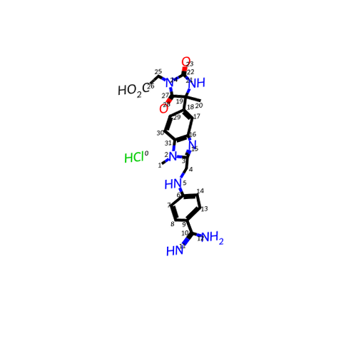 Cl.Cn1c(CNc2ccc(C(=N)N)cc2)nc2cc(C3(C)NC(=O)N(CC(=O)O)C3=O)ccc21